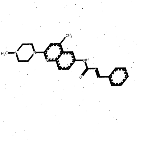 Cc1cc(N2CCN(C)CC2)nc2ccc(NC(=O)C=Cc3ccccc3)cc12